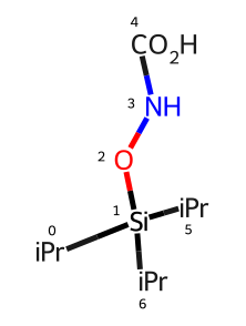 CC(C)[Si](ONC(=O)O)(C(C)C)C(C)C